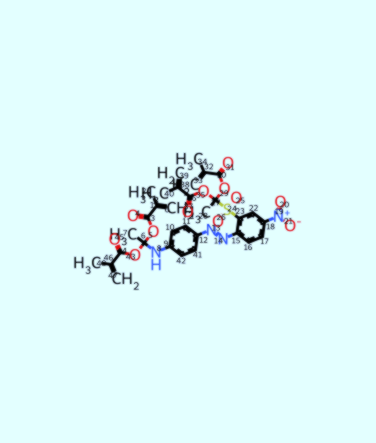 C=C(C)C(=O)OC(C)(Nc1ccc(N=Nc2ccc([N+](=O)[O-])cc2S(=O)(=O)C(C)(OC(=O)C(=C)C)OC(=O)C(=C)C)cc1)OC(=O)C(=C)C